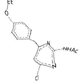 CCOc1ccc(-c2cc(Cl)nc(NC(C)=O)n2)cc1